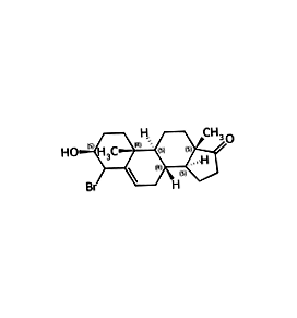 C[C@]12CC[C@H](O)C(Br)C1=CC[C@@H]1[C@@H]2CC[C@]2(C)C(=O)CC[C@@H]12